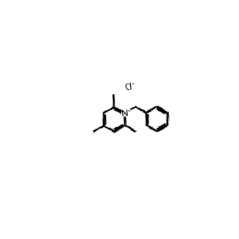 Cc1cc(C)[n+](Cc2ccccc2)c(C)c1.[Cl-]